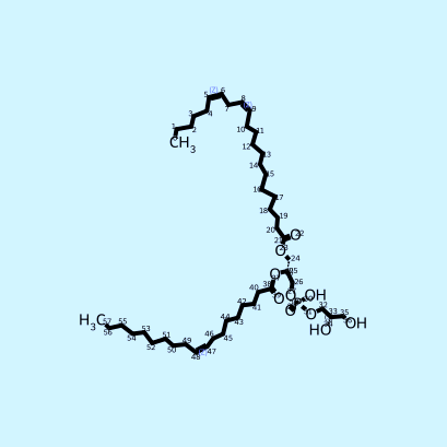 CCCCC/C=C\C/C=C\CCCCCCCCCCCC(=O)OC[C@H](COP(=O)(O)OC[C@@H](O)CO)OC(=O)CCCCCCC/C=C\CCCCCCCCC